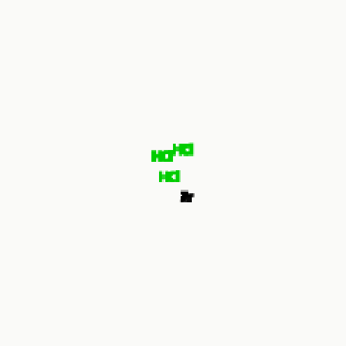 Cl.Cl.Cl.[Zr]